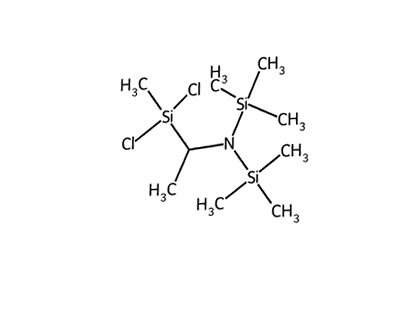 CC(N([Si](C)(C)C)[Si](C)(C)C)[Si](C)(Cl)Cl